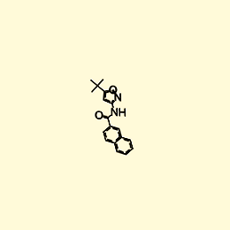 CC(C)(C)c1cc(NC(=O)c2ccc3ccccc3c2)no1